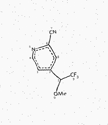 COC(c1ccnc(C#N)c1)C(F)(F)F